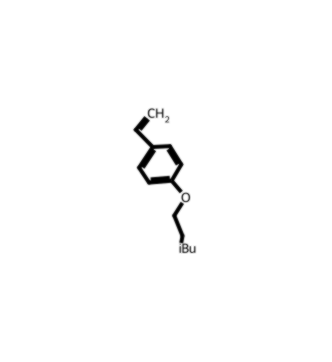 C=Cc1ccc(OCCC(C)CC)cc1